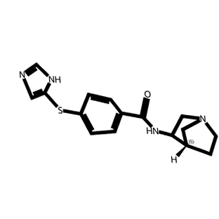 O=C(NC1CN2CC[C@H]1C2)c1ccc(Sc2cnc[nH]2)cc1